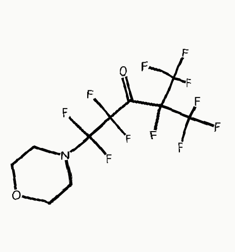 O=C(C(F)(F)C(F)(F)N1CCOCC1)C(F)(C(F)(F)F)C(F)(F)F